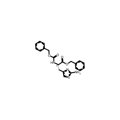 Nc1nc(C[C@H](NC(=O)OCc2ccccc2)C(=O)OCc2ccccc2)cs1